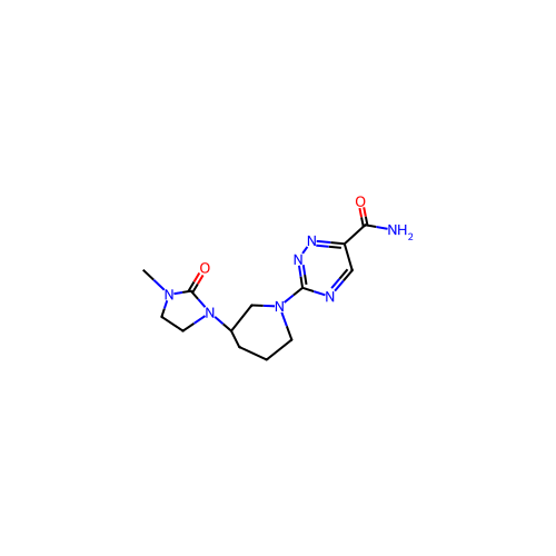 CN1CCN(C2CCCN(c3ncc(C(N)=O)nn3)C2)C1=O